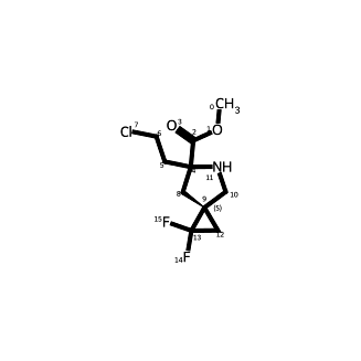 COC(=O)C1(CCCl)C[C@@]2(CN1)CC2(F)F